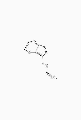 C=NOCc1ccc2cccoc1-2